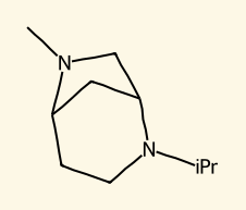 CC(C)N1CCC2CC1CN2C